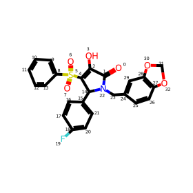 O=C1C(O)=C(S(=O)(=O)c2ccccc2)C(c2ccc(F)cc2)N1Cc1ccc2c(c1)OCO2